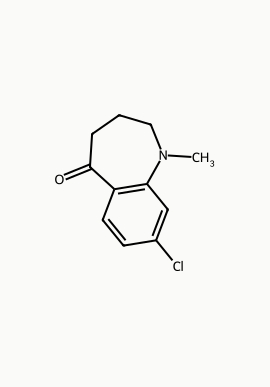 CN1CCCC(=O)c2ccc(Cl)cc21